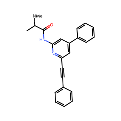 CNC(C)C(=O)Nc1cc(-c2ccccc2)cc(C#Cc2ccccc2)n1